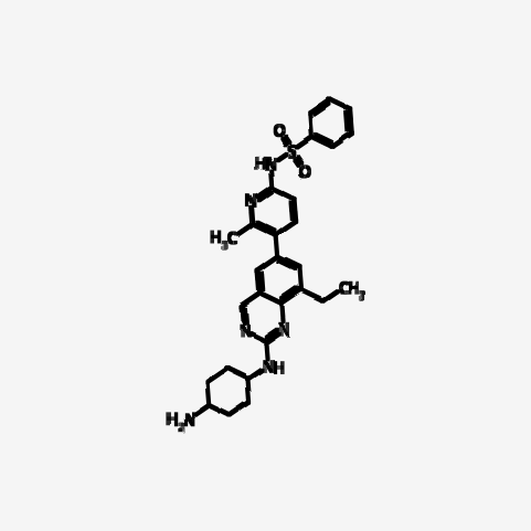 CCc1cc(-c2ccc(NS(=O)(=O)c3ccccc3)nc2C)cc2cnc(NC3CCC(N)CC3)nc12